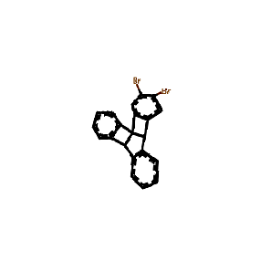 Brc1cc2c(cc1Br)C13c4ccccc4C1c1ccccc1C23